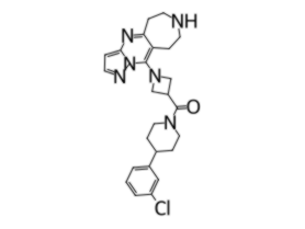 O=C(C1CN(c2c3c(nc4ccnn24)CCNCC3)C1)N1CCC(c2cccc(Cl)c2)CC1